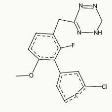 COc1ccc(CC2=NNCN=N2)c(F)c1-c1cccc(Cl)c1